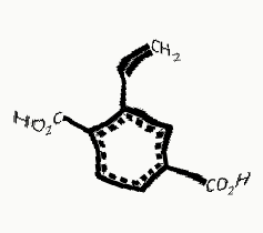 C=Cc1cc(C(=O)O)ccc1C(=O)O